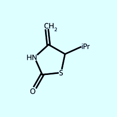 C=C1NC(=O)SC1C(C)C